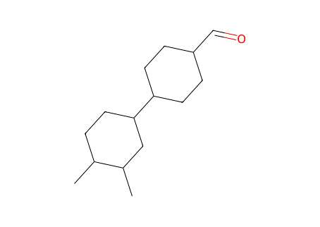 CC1CCC(C2CCC(C=O)CC2)CC1C